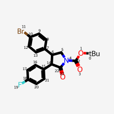 CC(C)(C)OC(=O)N1CC(c2ccc(Br)cc2)C(c2ccc(F)cc2)C1=O